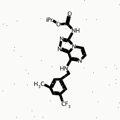 Cc1cc(CNc2nccn3c(NC(=O)OC(C)C)nnc23)cc(C(F)(F)F)c1